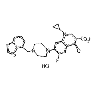 Cl.O=C(O)c1cn(C2CC2)c2cc(N3CCN(Cc4cccc5ccsc45)CC3)c(F)cc2c1=O